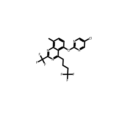 Cc1ccc(Oc2ncc(Cl)cn2)c2c(CCCC(F)(F)F)nc(C(F)(F)F)nc12